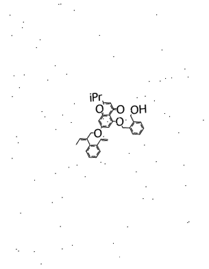 C=Cc1ccccc1/C(=C\C)COc1cc(OCc2ccccc2CO)c2c(=O)cc(C(C)C)oc2c1